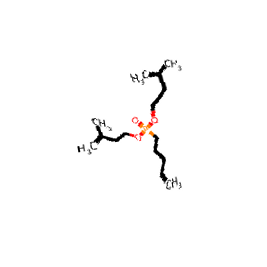 CCCCCP(=O)(OCCC(C)C)OCCC(C)C